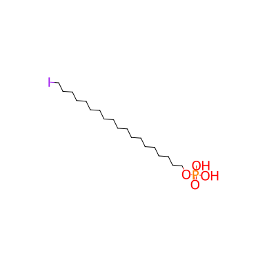 O=P(O)(O)OCCCCCCCCCCCCCCCCCCCI